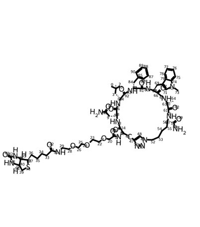 CC(C)C[C@H]1NC(=O)[C@@H](CC(N)=O)NC(=O)[C@@H](NC(=O)COCCOCCOCCNC(=O)CCCC[C@H]2SC[C@H]3NC(=O)N[C@H]32)Cc2cn(nn2)CCCC[C@@H](C(N)=O)NC(=O)[C@@H](C)NC(=O)[C@H](Cc2cn(C)c3ccccc23)NC(=O)[C@@H](Cc2ccccc2)NC1=O